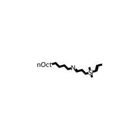 CC=C[Si](C)(C)CCC=NCCCCCCCCCCCC